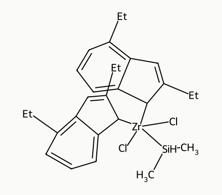 CCC1=Cc2c(CC)cccc2[CH]1[Zr]([Cl])([Cl])([CH]1C(CC)=Cc2c(CC)cccc21)[SiH](C)C